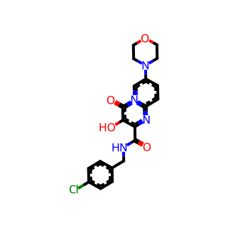 O=C(NCc1ccc(Cl)cc1)c1nc2ccc(N3CCOCC3)cn2c(=O)c1O